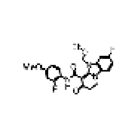 CCOCN1C2=C(C(=O)Nc3ccc(OC)cc3F)C(=O)CCN2c2ccc(F)cc21